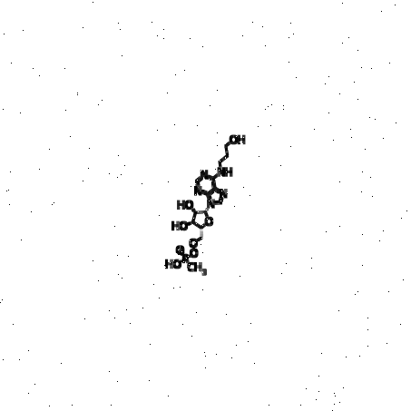 CP(=O)(O)OOC[C@H]1O[C@@H](n2cnc3c(NCCCO)ncnc32)[C@H](O)[C@@H]1O